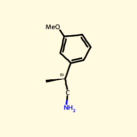 COc1cccc([C@H](C)CN)c1